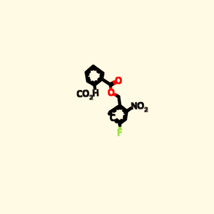 O=C(O)c1ccccc1C(=O)OCc1ccc(F)cc1[N+](=O)[O-]